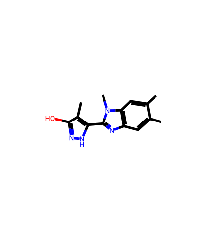 Cc1cc2nc(-c3[nH]nc(O)c3C)n(C)c2cc1C